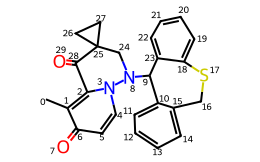 Cc1c2n(ccc1=O)N(C1c3ccccc3CSc3ccccc31)CC1(CC1)C2=O